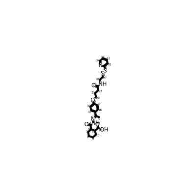 C/C(=N\NC(=O)C1CCCCC1C(=O)O)c1ccc(OCCCC(=O)NCCSSc2ccccn2)cc1